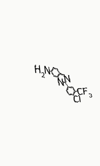 Nc1ccc2cnc(-c3ccc(Cl)c(C(F)(F)F)c3)nc2c1